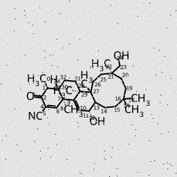 C[C@@H]1C(=O)C(C#N)=C[C@]2(C)C3=C[C@@H](O)C4CCC(C)(C)CC[C@](C)(CO)CC[C@@]4(C)[C@]3(C)CC[C@@H]12